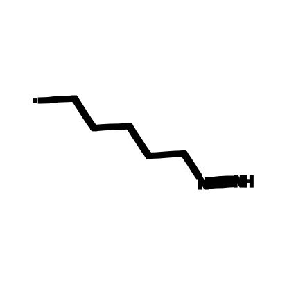 [CH2]CCCCCN=N